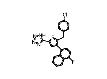 Fc1ccc(-c2cc(-c3nnn[nH]3)sc2Cc2ccc(Cl)cc2)c2ccccc12